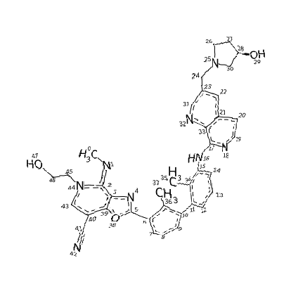 C/N=c1/c2nc(-c3cccc(-c4cccc(Nc5nccc6cc(CN7CC[C@@H](O)C7)cnc56)c4C)c3C)oc2c(C#N)cn1CCO